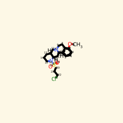 COc1cccc2c1CCN1C[C@@H]3CCCN(S(=O)(=O)CCCCl)[C@@H]3C[C@@H]21